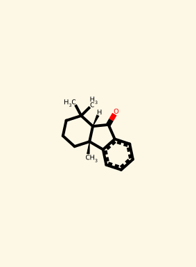 CC1(C)CCC[C@@]2(C)c3ccccc3C(=O)[C@@H]12